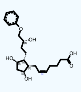 O=C(O)CCC/C=C\C[C@@H]1[C@@H](CC[C@@H](O)COc2ccccc2)[C@H](O)C[C@@H]1O